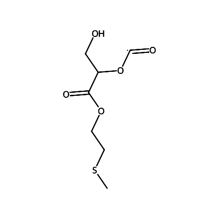 CSCCOC(=O)C(CO)O[C]=O